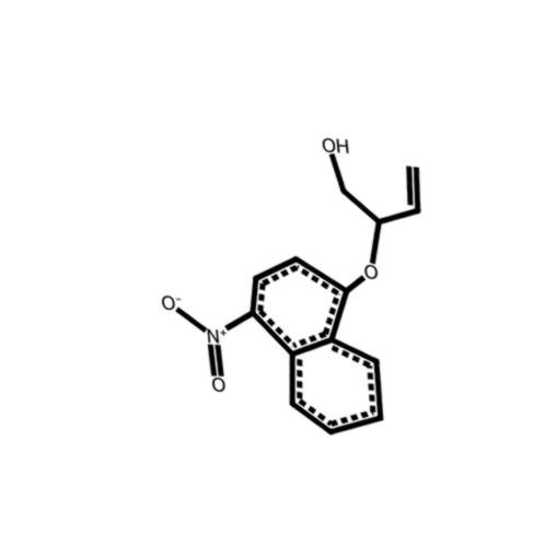 C=CC(CO)Oc1ccc([N+](=O)[O-])c2ccccc12